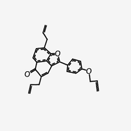 C=CCOc1ccc(-c2oc3c(CC=C)ccc4c3c2C=C(CC=C)C4=O)cc1